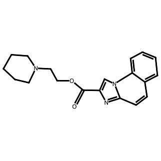 O=C(OCCN1CCCCC1)c1cn2c(ccc3ccccc32)n1